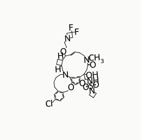 CN1CC/C=C/[C@H](OCCN2CC(F)(F)C2)[C@@H]2CC[C@H]2CN2CCCCc3cc(Cl)ccc3COc3ccc(cc32)[C@@](O)(C(=O)NS(=O)(=O)N2CCC2)CC1=O